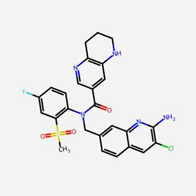 CS(=O)(=O)c1cc(F)ccc1N(Cc1ccc2cc(Cl)c(N)nc2c1)C(=O)c1cnc2c(c1)NCCC2